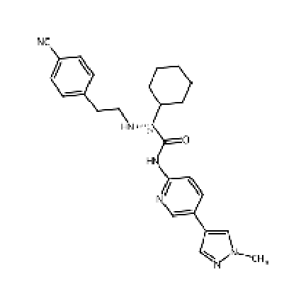 Cn1cc(-c2ccc(NC(=O)[C@H](NCCc3ccc(C#N)cc3)C3CCCCC3)nc2)cn1